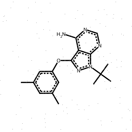 Cc1cc(C)cc(Oc2nn(C(C)(C)C)c3ncnc(N)c23)c1